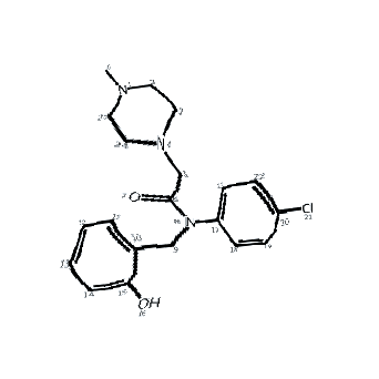 CN1CCN(CC(=O)N(Cc2ccccc2O)c2ccc(Cl)cc2)CC1